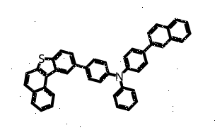 c1ccc(N(c2ccc(-c3ccc4ccccc4c3)cc2)c2ccc(-c3ccc4sc5ccc6ccccc6c5c4c3)cc2)cc1